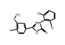 COc1cc(-c2nn(-c3c(Cl)cccc3Cl)c(=O)[nH]2)ccc1I